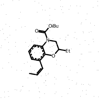 C/C=C\c1cccc2c1OC(CC)CN2C(=O)OCC(C)C